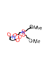 COCCCON(CC(=O)ON1C(=O)CCC1=O)OCCCOC